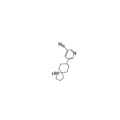 N#Cc1cncc(C2CCC3(CCCN3)CC2)c1